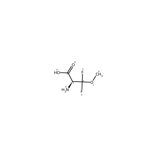 COC(F)(F)[C@@H](N)C(=O)O